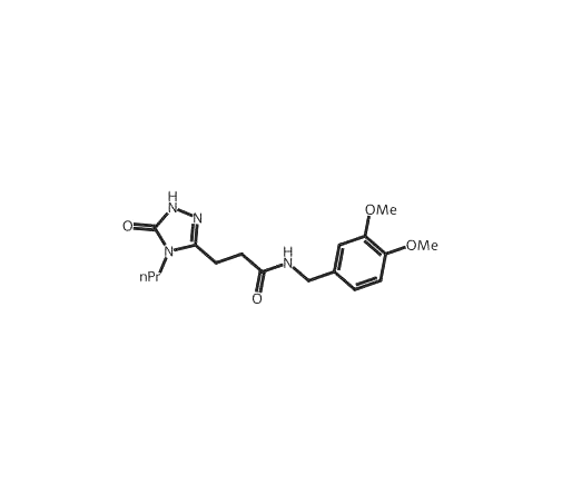 CCCn1c(CCC(=O)NCc2ccc(OC)c(OC)c2)n[nH]c1=O